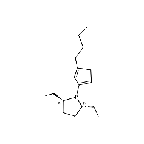 CCCCC1=CC(P2[C@H](CC)CC[C@H]2CC)=CC1